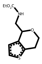 CCOC(=O)NCC1OCCc2sccc21